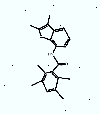 Cc1cc(C)c(C)c(C(=O)Nc2cccc3c(C)c(C)oc23)c1C